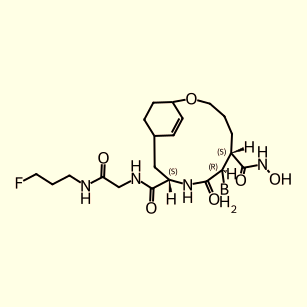 B[C@H]1C(=O)N[C@H](C(=O)NCC(=O)NCCCF)CC2C=CC(CC2)OCCC[C@@H]1C(=O)NO